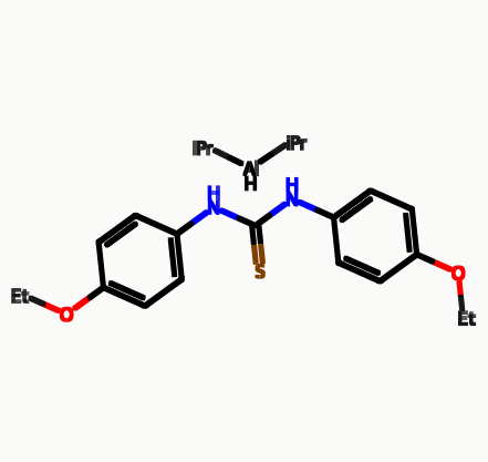 CCOc1ccc(NC(=S)Nc2ccc(OCC)cc2)cc1.C[CH](C)[AlH][CH](C)C